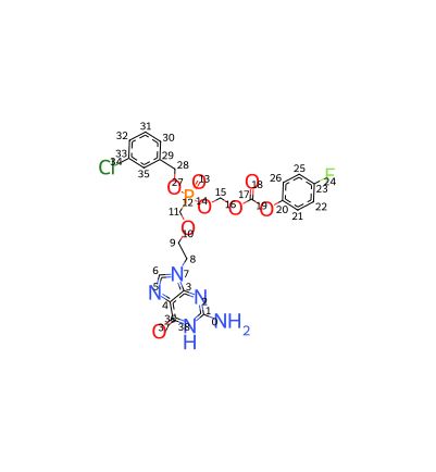 Nc1nc2c(ncn2CCOCP(=O)(OCOC(=O)Oc2ccc(F)cc2)OCc2cccc(Cl)c2)c(=O)[nH]1